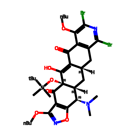 CCCCOc1noc2c1C(=O)[C@@]1(O[Si](C)(C)C(C)(C)C)C(O)=C3C(=O)c4c(c(Br)nc(Br)c4OCCCC)C[C@H]3C[C@H]1[C@@H]2N(C)C